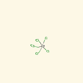 [Cl][Cu]([Cl])([Cl])([Cl])[Cl]